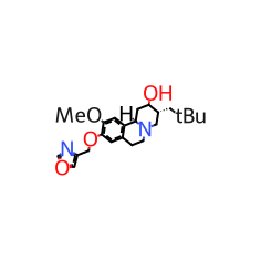 COc1cc2c(cc1OCc1cocn1)CCN1C[C@@H](CC(C)(C)C)[C@H](O)C[C@H]21